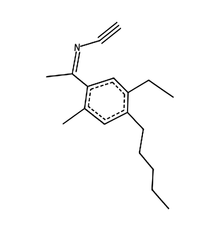 C#C/N=C(/C)c1cc(CC)c(CCCCC)cc1C